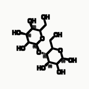 OCC1O[C@@H](O)C(O)[C@@H](O)[C@@H]1O[C@@H]1OC(CO)[C@H](O)[C@H](O)C1O